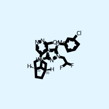 COc1cc(N2C[C@@H]3CC[C@@H](C2)C3Nc2nc(Oc3cccc(Cl)c3)n(CC(F)F)n2)cnn1